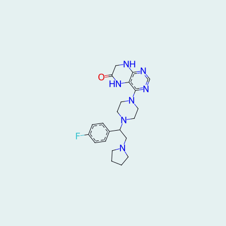 O=C1CNc2ncnc(N3CCN(C(CN4CCCC4)c4ccc(F)cc4)CC3)c2N1